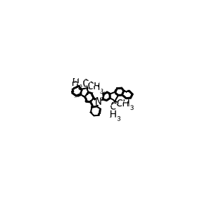 CC1(C)c2ccccc2-c2cc3c4c(n(-c5ccc6c(c5)C(C)(C)c5c-6ccc6ccccc56)c3cc21)C=CCC4